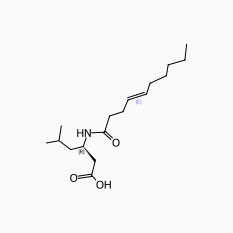 CCCCC/C=C/CCC(=O)N[C@@H](CC(=O)O)CC(C)C